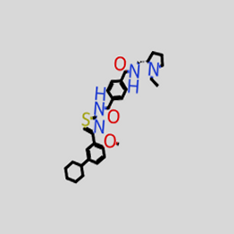 CCN1CCC[C@H]1CNC(=O)c1ccc(C(=O)Nc2nc(-c3cc(C4CCCCC4)ccc3OC)cs2)cc1